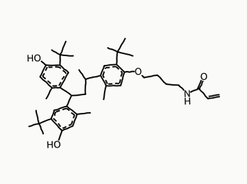 C=CC(=O)NCCCCOc1cc(C)c(C(C)CC(c2cc(C(C)(C)C)c(O)cc2C)c2cc(C(C)(C)C)c(O)cc2C)cc1C(C)(C)C